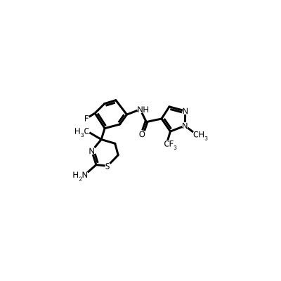 Cn1ncc(C(=O)Nc2ccc(F)c(C3(C)CCSC(N)=N3)c2)c1C(F)(F)F